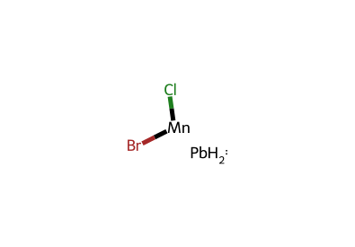 [Cl][Mn][Br].[PbH2]